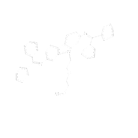 COCCOCCn1c2cc(N=C(c3ccccc3)c3ccccc3)ccc2c2ccc(N=C(c3ccccc3)c3ccccc3)cc21